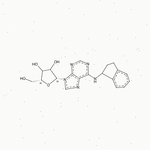 OC[C@H]1O[C@@H](n2cnc3c(NC4CCc5ccccc54)ncnc32)C(O)C1O